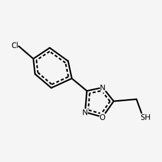 SCc1nc(-c2ccc(Cl)cc2)no1